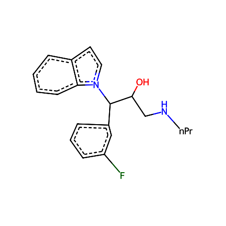 CCCNCC(O)C(c1cccc(F)c1)n1ccc2ccccc21